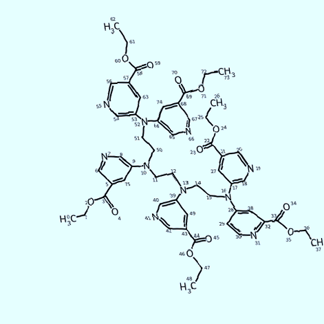 CCOC(=O)c1cncc(N(CCN(CCN(c2cncc(C(=O)OCC)c2)c2ccnc(C(=O)OCC)c2)c2cncc(C(=O)OCC)c2)CCN(c2cncc(C(=O)OCC)c2)c2cncc(C(=O)OCC)c2)c1